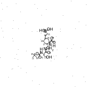 C[C@@H](O)[C@H](NC(=O)OC(C)(C)C)C(=O)NC[C@@H]1CC[C@@H](CCB(O)O)C[C@]1(N)C(=O)O